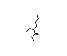 CCCC[C@H](NC)C(=O)NC